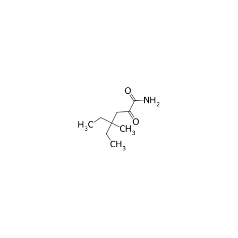 CCC(C)(CC)CC(=O)C(N)=O